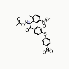 CC(=O)O/N=C(\C(=O)c1ccc(Sc2ccc([N+](=O)[O-])cc2)cc1)c1cc([N+](=O)[O-])ccc1C